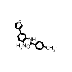 [CH2]c1ccc(C(=O)Nc2cc(-c3ccsc3)ccc2N)cc1